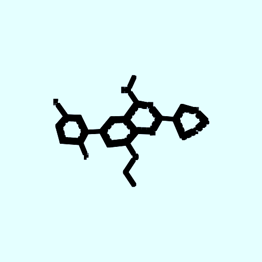 CCOc1cc(-c2cc(F)ccc2F)cc2c(NC)nc(-c3cccnc3)nc12